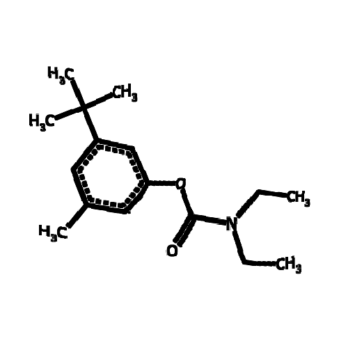 CCN(CC)C(=O)Oc1[c]c(C)cc(C(C)(C)C)c1